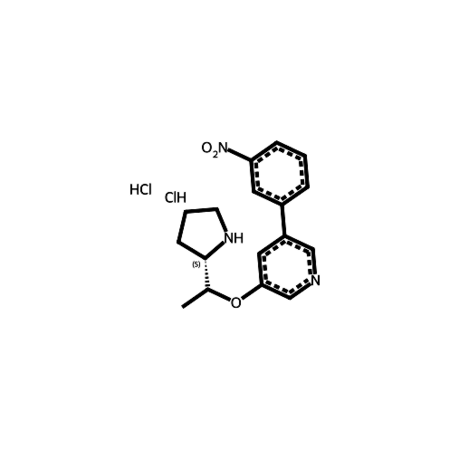 CC(Oc1cncc(-c2cccc([N+](=O)[O-])c2)c1)[C@@H]1CCCN1.Cl.Cl